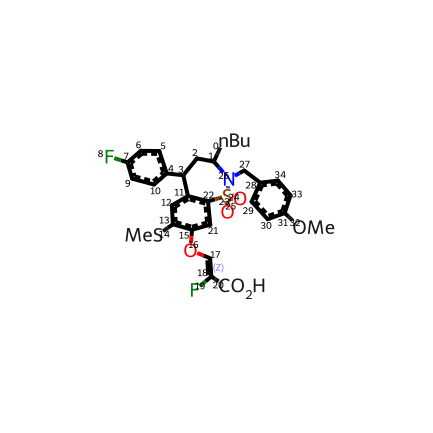 CCCCC1CC(c2ccc(F)cc2)c2cc(SC)c(O/C=C(\F)C(=O)O)cc2S(=O)(=O)N1Cc1ccc(OC)cc1